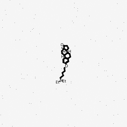 CCN(CC)CCCCCOc1ccc2c(c1)CC[C@@H]1[C@@H]2CC[C@]2(C)C(=O)CC[C@@H]12